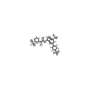 CS(=O)(=O)c1cccc(NC(=O)Oc2cnn3c(C(F)F)cc(-c4ccc(C(F)(F)F)cc4)nc23)c1